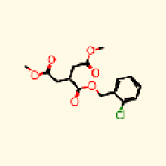 COC(=O)CC(CC(=O)OC)C(=O)OCc1ccccc1Cl